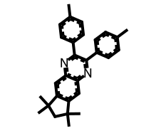 Cc1ccc(-c2nc3cc4c(cc3nc2-c2ccc(C)cc2)C(C)(C)CC4(C)C)cc1